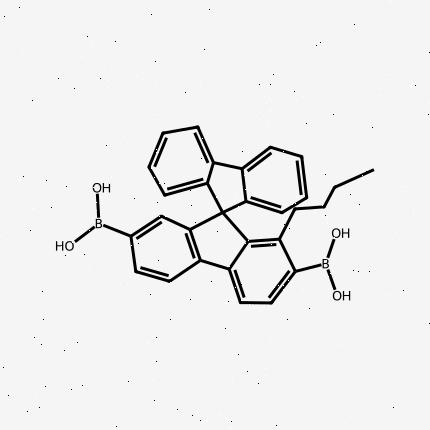 CCCCc1c(B(O)O)ccc2c1C1(c3ccccc3-c3ccccc31)c1cc(B(O)O)ccc1-2